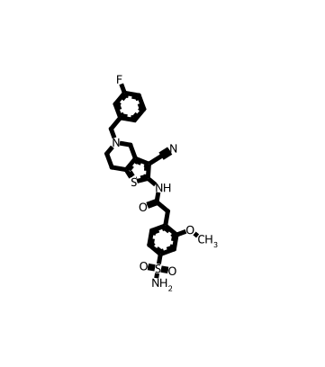 COc1cc(S(N)(=O)=O)ccc1CC(=O)Nc1sc2c(c1C#N)CN(Cc1cccc(F)c1)CC2